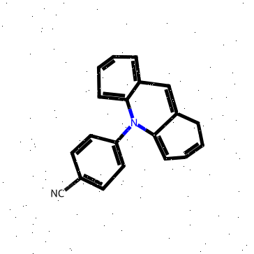 N#Cc1ccc(N2C3=CC=CCC3=Cc3ccccc32)cc1